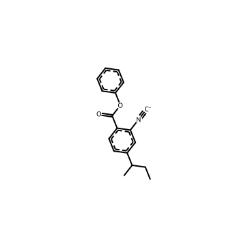 [C-]#[N+]c1cc(C(C)CC)ccc1C(=O)Oc1ccccc1